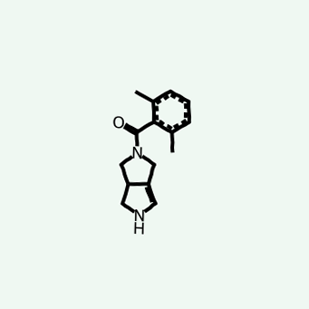 Cc1cccc(C)c1C(=O)N1CC2=CNCC2C1